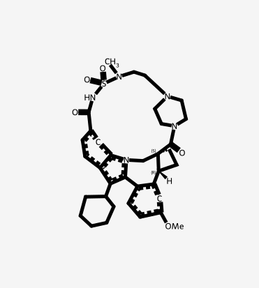 COc1ccc2c(c1)[C@H]1CC[C@@]13Cn1c-2c(C2CCCCC2)c2ccc(cc21)C(=O)NS(=O)(=O)N(C)CCN1CCN(CC1)C3=O